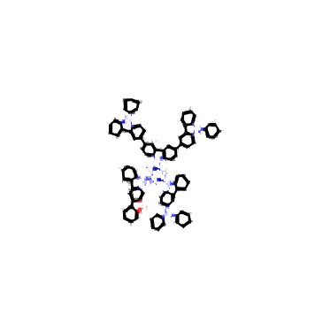 c1ccc(N(c2ccccc2)c2ccc3c(c2)c2ccccc2n3-c2nc(-n3c4ccc(-c5ccc6c(c5)c5ccccc5n6-c5ccccc5)cc4c4cc(-c5ccc6c(c5)c5ccccc5n6-c5ccccc5)ccc43)nc(-n3c4ccccc4c4cc5c(cc43)oc3ccccc35)n2)cc1